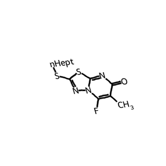 CCCCCCCSc1nn2c(F)c(C)c(=O)nc2s1